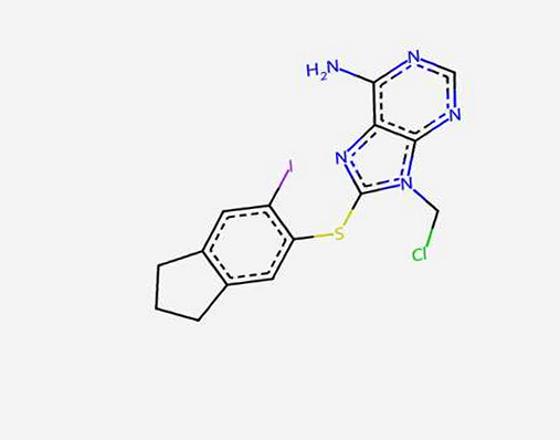 Nc1ncnc2c1nc(Sc1cc3c(cc1I)CCC3)n2CCl